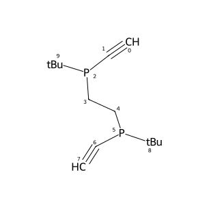 C#CP(CCP(C#C)C(C)(C)C)C(C)(C)C